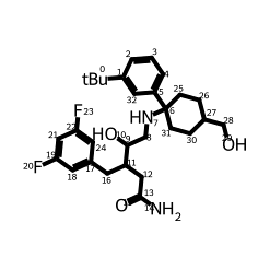 CC(C)(C)c1cccc(C2(NCC(O)C(CC(N)=O)Cc3cc(F)cc(F)c3)CCC(CO)CC2)c1